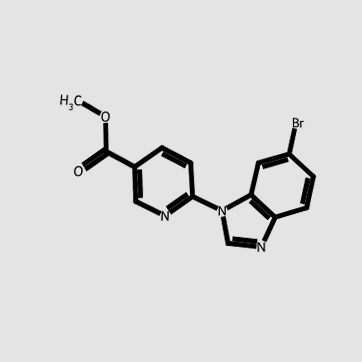 COC(=O)c1ccc(-n2cnc3ccc(Br)cc32)nc1